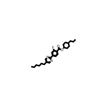 CCCCCCc1cnc(-c2ccc(C(=O)OC3CCC(CCC)CC3)c(F)c2)nc1